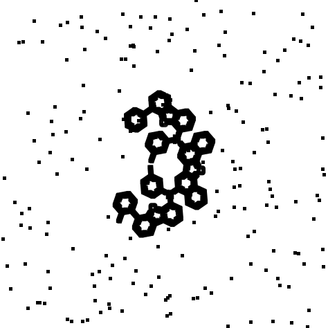 Cc1cccc(N(c2cc3c4cc(N(c5cccc(C)c5)c5cccc6c5oc5c(-c7ccccc7C)cccc56)c5ccccc5c4oc3c3ccccc23)c2cccc3c2oc2c(-c4ccccc4)cccc23)c1